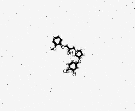 COc1ccccc1OCC(O)CN1CCC(Oc2ccc(Cl)c(Cl)c2)C1